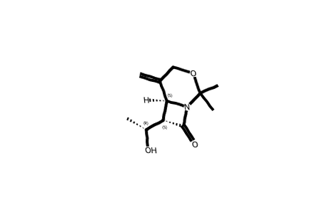 C=C1COC(C)(C)N2C(=O)[C@H]([C@@H](C)O)[C@@H]12